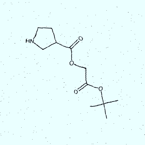 CC(C)(C)OC(=O)COC(=O)C1CCNC1